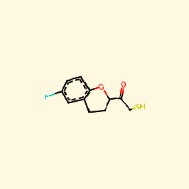 O=C([CH]S)C1CCc2cc(F)ccc2O1